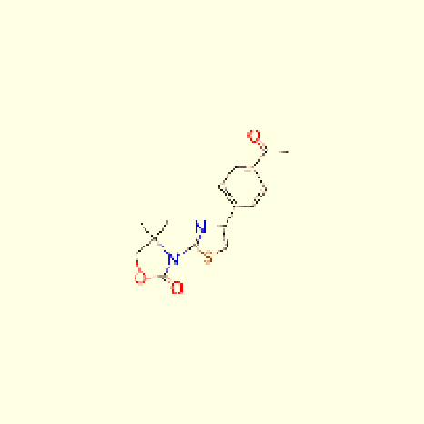 CC(=O)c1ccc(-c2csc(N3C(=O)OCC3(C)C)n2)cc1